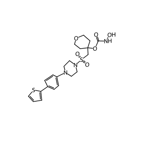 O=C(NO)OC1(CS(=O)(=O)N2CCN(c3ccc(-c4cccs4)cc3)CC2)CCOCC1